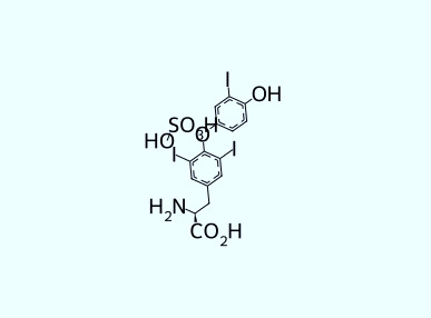 N[C@@H](Cc1cc(I)c(Oc2ccc(O)c(I)c2)c(I)c1)C(=O)O.O=S(=O)(O)O